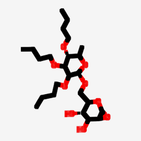 CCCCOC1C(OCCCC)[C@H](OCCCC)C(C)O[C@H]1OCC1OC2OC2C(O)[C@@H]1O